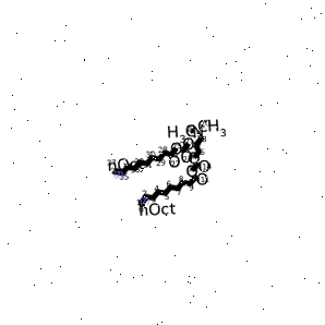 CCCCCCCC/C=C\CCCCCCCC(=O)OC(=O)OCC(CN(C)C)OC(=O)OC(=O)CCCCCCC/C=C\CCCCCCCC